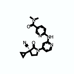 CN(C)C(=O)c1ccc(Nc2cc(N3CC[C@@](C#N)(C4CC4)C3=O)ccn2)nc1